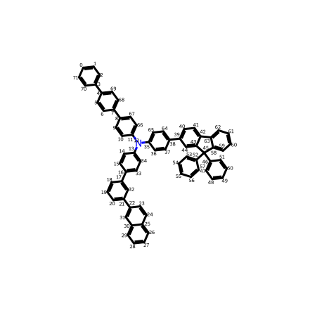 c1ccc(-c2ccc(-c3ccc(N(c4ccc(-c5cccc(-c6ccc7ccccc7c6)c5)cc4)c4ccc(-c5ccc6c(c5)C(c5ccccc5)(c5ccccc5)c5ccccc5-6)cc4)cc3)cc2)cc1